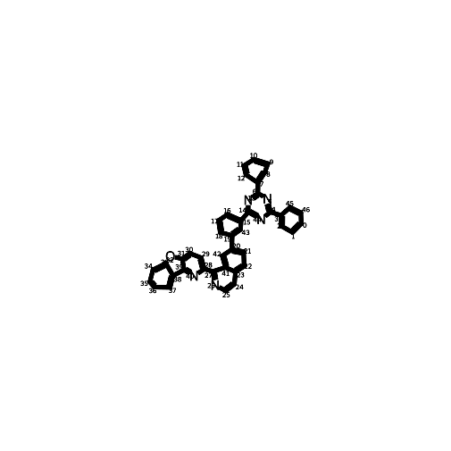 c1ccc(-c2nc(-c3ccccc3)nc(-c3cccc(-c4ccc5ccnc(-c6ccc7oc8ccccc8c7n6)c5c4)c3)n2)cc1